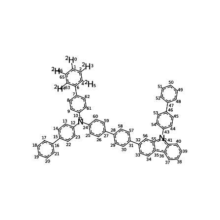 [2H]c1c([2H])c([2H])c(-c2ccc(N(c3ccc(-c4ccccc4)cc3)c3ccc(-c4ccc(-c5ccc6c7ccccc7n(-c7ccc(-c8ccccc8)cc7)c6c5)cc4)cc3)cc2)c([2H])c1[2H]